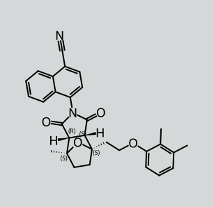 Cc1cccc(OCC[C@]23CC[C@](C)(O2)[C@@H]2C(=O)N(c4ccc(C#N)c5ccccc45)C(=O)[C@@H]23)c1C